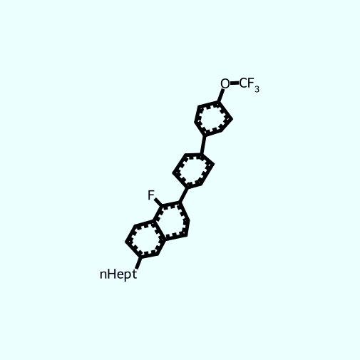 CCCCCCCc1ccc2c(F)c(-c3ccc(-c4ccc(OC(F)(F)F)cc4)cc3)ccc2c1